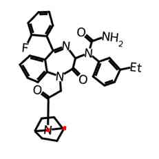 CCc1cccc(N(C(N)=O)C2N=C(c3ccccc3F)c3ccccc3N(CC(=O)N3CC4CCC(CC4)C3)C2=O)c1